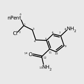 CCCCCC(Cl)CCc1cc(N)ccc1C(N)=O